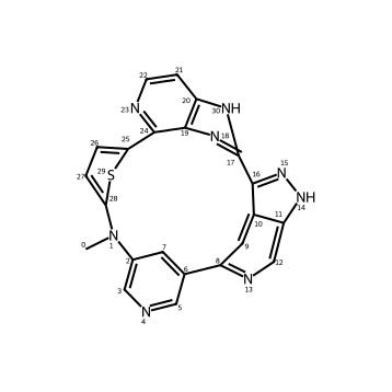 Cn1c2cncc(c2)c2cc3c(cn2)[nH]nc3c2nc3c(ccnc3c3ccc1s3)[nH]2